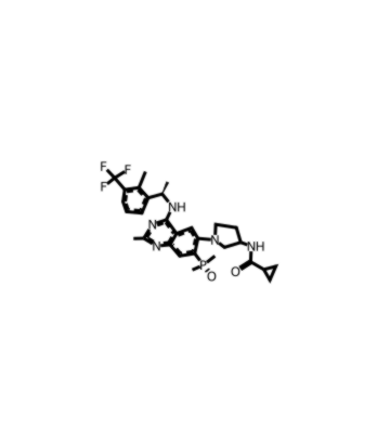 Cc1nc(N[C@H](C)c2cccc(C(F)(F)F)c2C)c2cc(N3CCC(NC(=O)C4CC4)C3)c(P(C)(C)=O)cc2n1